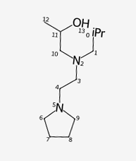 CC(C)CN(CCN1CCCC1)CC(C)O